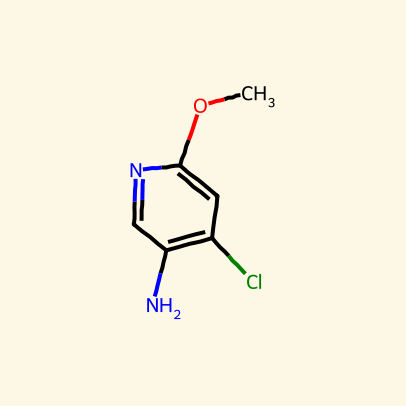 COc1cc(Cl)c(N)cn1